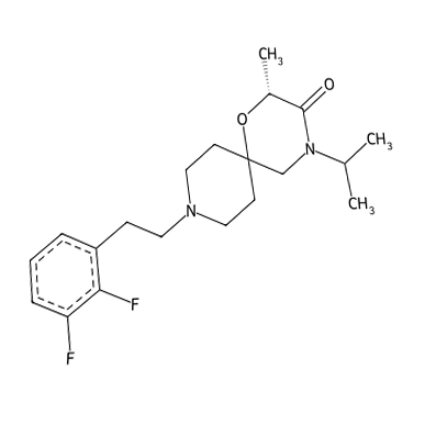 CC(C)N1CC2(CCN(CCc3cccc(F)c3F)CC2)O[C@H](C)C1=O